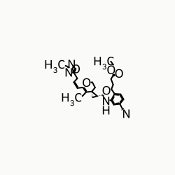 CCOC(=O)CCCc1ccc(C#N)cc1NC(=O)[C@@H]1C[C@]12CCOC(/C=C\Cc1nc(C)no1)=C2CC